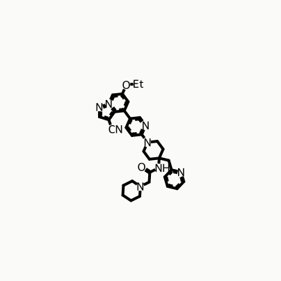 CCOc1cc(-c2ccc(N3CCC(Cc4ccccn4)(NC(=O)CN4CCCCC4)CC3)nc2)c2c(C#N)cnn2c1